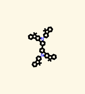 CC1(C)c2ccccc2-c2ccc(-n3c4ccc(-c5ccc6c(c5)c5cc7c(cc5n6-c5ccc6c(c5)C(C)(C)c5ccccc5-6)C(C)(C)c5ccccc5-7)cc4c4cc5c(cc43)C(C)(C)c3ccccc3-5)cc21